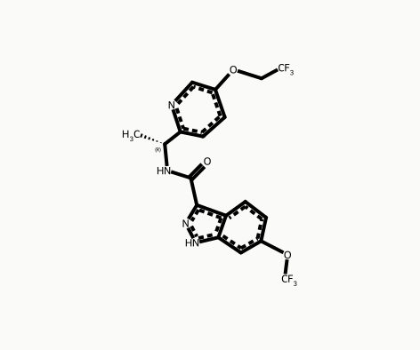 C[C@@H](NC(=O)c1n[nH]c2cc(OC(F)(F)F)ccc12)c1ccc(OCC(F)(F)F)cn1